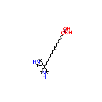 CC1(C)CC(C(CCCCCCCCCCCCCCCCCOP(O)O)C2CC(C)(C)NC(C)(C)C2)CC(C)(C)N1